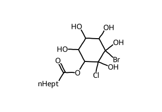 CCCCCCCC(=O)OC1C(O)C(O)C(O)C(O)(Br)C1(O)Cl